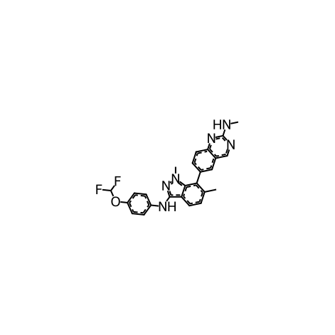 CNc1ncc2cc(-c3c(C)ccc4c(Nc5ccc(OC(F)F)cc5)nn(C)c34)ccc2n1